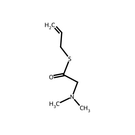 C=CCSC(=O)CN(C)C